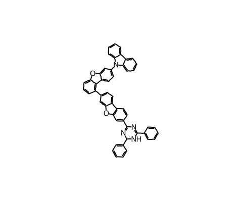 c1ccc(C2=NC(c3ccc4c(c3)oc3cc(-c5cccc6oc7cc(-n8c9ccccc9c9ccccc98)ccc7c56)ccc34)=NC(c3ccccc3)N2)cc1